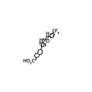 O=C(O)CC1CCC2CC(c3cnc(NC(=O)Nc4cccc(C(F)(F)F)c4)nc3)CCC2C1